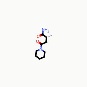 C[C@H]([CH]C(=O)N1CCCCC1)C(N)=O